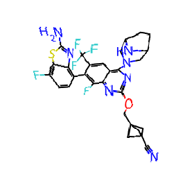 N#CC12CC(COc3nc(N4CC5CCC(C4)N5)c4cc(C(F)(F)F)c(-c5ccc(F)c6sc(N)nc56)c(F)c4n3)(C1)C2